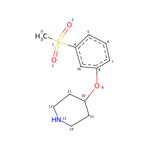 CS(=O)(=O)c1cccc(OC2CCNCC2)c1